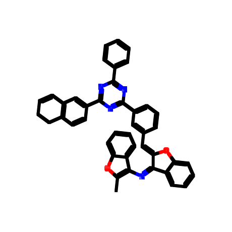 Cc1oc2ccccc2c1/N=C1\C(=C\c2cccc(-c3nc(-c4ccccc4)nc(-c4ccc5c(c4)C=CCC5)n3)c2)Oc2ccccc21